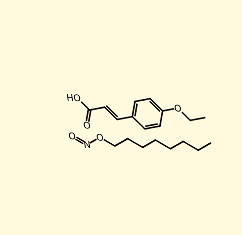 CCCCCCCCON=O.CCOc1ccc(C=CC(=O)O)cc1